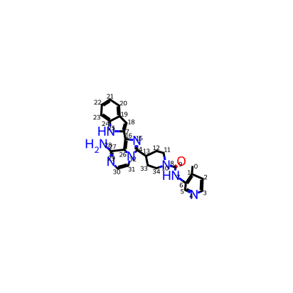 Cc1ccncc1NC(=O)N1CCC(c2nc(-c3cc4ccccc4[nH]3)c3c(N)nccn23)CC1